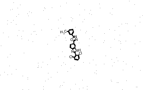 Cc1cccc(-c2nnc(-c3ccc4nc(-c5c(Cl)cccc5Cl)[nH]c4c3)o2)c1